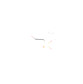 O=[SH](O)(O)CCO.[NaH]